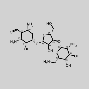 NC[C@@H]1O[C@H](O[C@H]2[C@@H](O)[C@H](O[C@H]3C[C@@H](N)[C@H](C=O)[C@@H](N)[C@@H]3O)O[C@@H]2CO)[C@H](N)[C@@H](O)[C@@H]1O